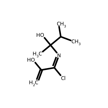 C=C(O)/C(Cl)=N\C(C)(O)C(C)C